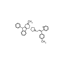 CN1CCC2=C(C1)C(c1ccccc1)c1ccccc12.Cc1ccc(/C(=C\CN2CCCC2)c2ccccn2)cc1